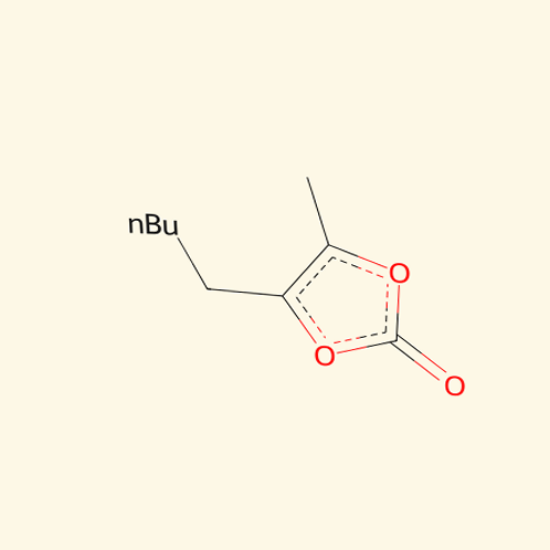 [CH2]CCCCc1oc(=O)oc1C